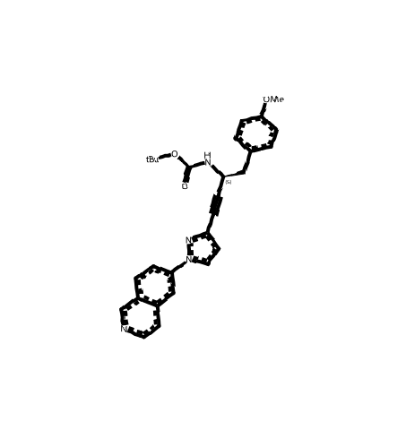 COc1ccc(C[C@@H](C#Cc2ccn(-c3ccc4cnccc4c3)n2)NC(=O)OC(C)(C)C)cc1